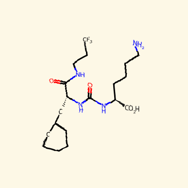 NCCCC[C@H](NC(=O)N[C@H](CC1CCCCC1)C(=O)NCCC(F)(F)F)C(=O)O